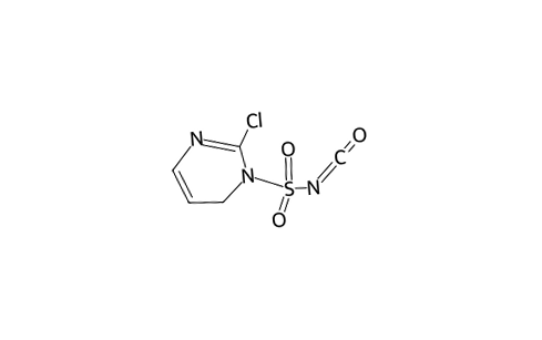 O=C=NS(=O)(=O)N1CC=CN=C1Cl